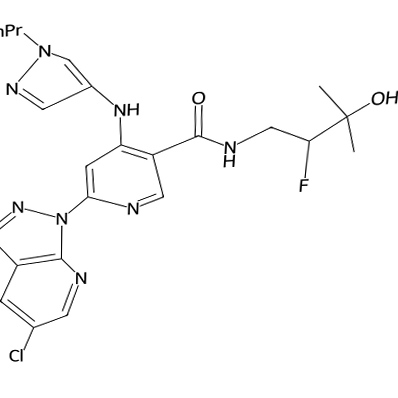 CCCn1cc(Nc2cc(-n3ncc4cc(Cl)cnc43)ncc2C(=O)NCC(F)C(C)(C)O)cn1